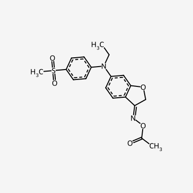 CCN(c1ccc(S(C)(=O)=O)cc1)c1ccc2c(c1)OC/C2=N\OC(C)=O